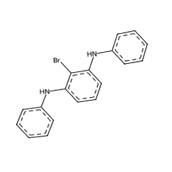 Brc1c(Nc2ccccc2)cccc1Nc1ccccc1